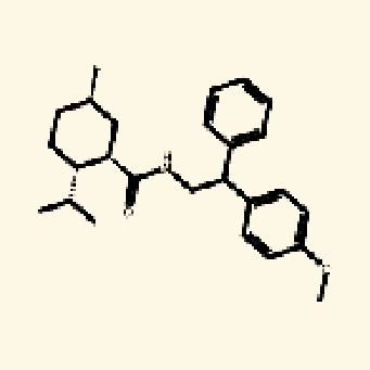 COc1ccc(C(CNC(=O)[C@@H]2C[C@H](C)CC[C@H]2C(C)C)c2ccccc2)cc1